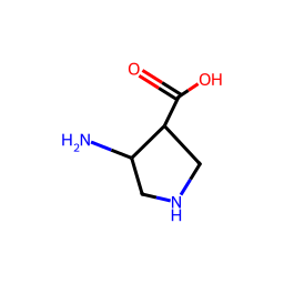 NC1CNCC1C(=O)O